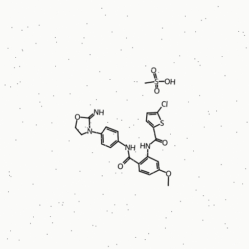 COc1ccc(C(=O)Nc2ccc(N3CCOC3=N)cc2)c(NC(=O)c2ccc(Cl)s2)c1.CS(=O)(=O)O